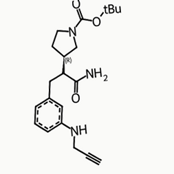 C#CCNc1cccc(CC(C(N)=O)[C@H]2CCN(C(=O)OC(C)(C)C)C2)c1